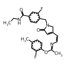 CCNC(=O)c1ccc(CN2CC(/C=C\N=C(/C)Oc3ccc(C)cc3F)=CC2=O)c(F)c1